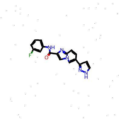 O=C(Nc1cccc(F)c1)c1cn2cc(-c3cc[nH]n3)ccc2n1